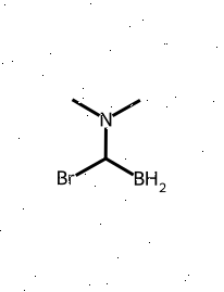 BC(Br)N(C)C